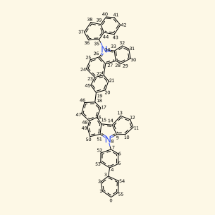 c1ccc(-c2ccc(-n3c4ccccc4c4c5cc(-c6ccc7c(ccc8c7c7ccccc7n8-c7cccc8ccccc78)c6)ccc5ccc43)cc2)cc1